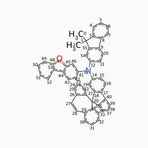 CC1(C)c2ccccc2-c2ccc(N(c3ccc4c(c3)C3(c5ccccc5C=Cc5ccccc53)c3ccccc3-4)c3ccc4c(c3)oc3ccccc34)cc21